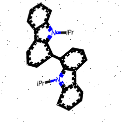 CC(C)n1c2ccccc2c2cccc(-c3cccc4c5ccccc5n(C(C)C)c34)c21